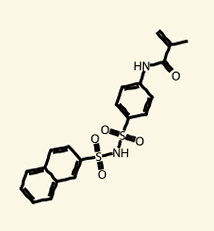 C=C(C)C(=O)Nc1ccc(S(=O)(=O)NS(=O)(=O)c2ccc3ccccc3c2)cc1